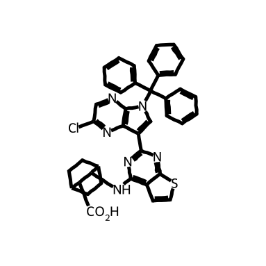 O=C(O)C1C2CCC(CC2)C1Nc1nc(-c2cn(C(c3ccccc3)(c3ccccc3)c3ccccc3)c3ncc(Cl)nc23)nc2sccc12